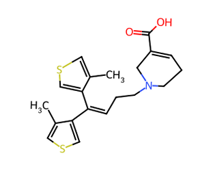 Cc1cscc1C(=CCCN1CCC=C(C(=O)O)C1)c1cscc1C